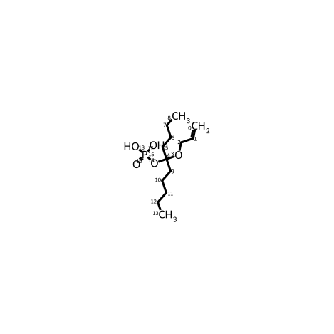 C=CCOC(CCCC)(CCCCC)OP(=O)(O)O